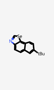 CC(C)(C)c1ccc2c(ccc3nc[se]c32)c1